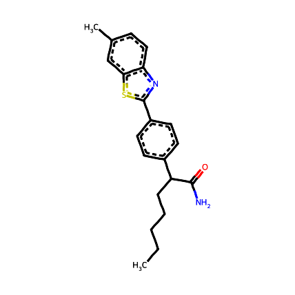 CCCCCC(C(N)=O)c1ccc(-c2nc3ccc(C)cc3s2)cc1